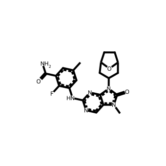 Cc1cc(Nc2ncc3c(n2)n(C2CC4CCC(C2)O4)c(=O)n3C)c(F)c(C(N)=O)c1